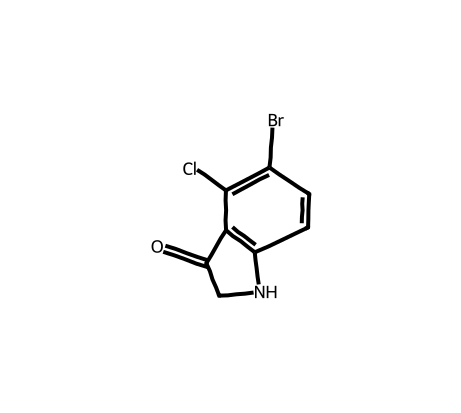 O=C1CNc2ccc(Br)c(Cl)c21